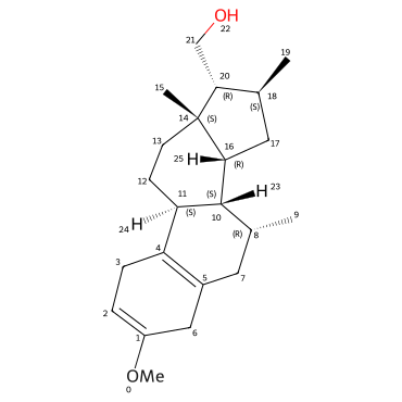 COC1=CCC2=C(C1)C[C@@H](C)[C@@H]1[C@@H]2CC[C@@]2(C)[C@@H]1C[C@H](C)[C@H]2CO